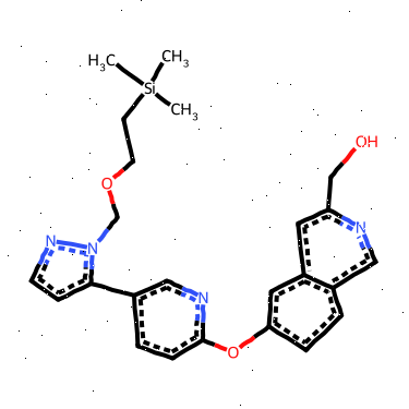 C[Si](C)(C)CCOCn1nccc1-c1ccc(Oc2ccc3cnc(CO)cc3c2)nc1